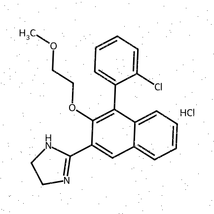 COCCOc1c(C2=NCCN2)cc2ccccc2c1-c1ccccc1Cl.Cl